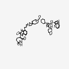 Cn1c(=O)n(C2CCC(=O)NC2=O)c2cccc(CCCN3CC4(CCN(C(=O)[C@H]5CC[C@H](n6cc(NC(=O)c7cnn8cccnc78)c(N7CCOCC7)n6)CC5)CC4)C3)c21